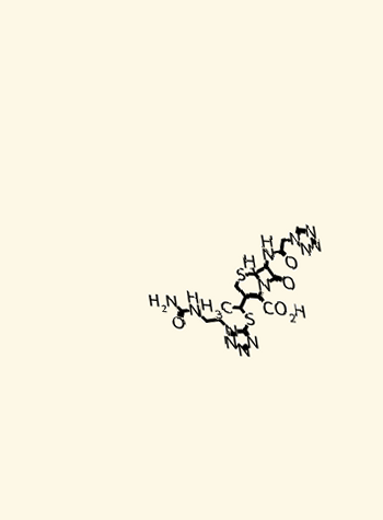 CC(Sc1nnnn1CCNC(N)=O)C1=C(C(=O)O)N2C(=O)C(NC(=O)Cn3cnnn3)[C@H]2SC1